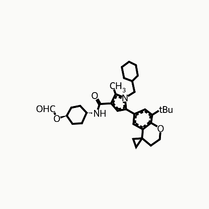 Cc1c(C(=O)N[C@H]2CC[C@H](OC=O)CC2)cc(-c2cc(C(C)(C)C)c3c(c2)C2(CCO3)CC2)n1CC1CCCCC1